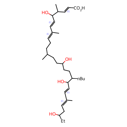 CCCCC(CCC(O)CCC(C)CC/C=C(C)/C=C/C(O)C(C)/C=C/C(=O)O)C(O)/C=C/C(C)=C/CC(O)CC